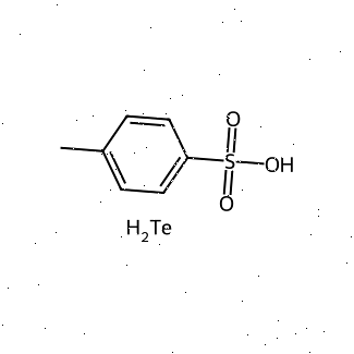 Cc1ccc(S(=O)(=O)O)cc1.[TeH2]